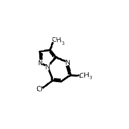 Cc1cc(Cl)n2ncc(C)c2n1